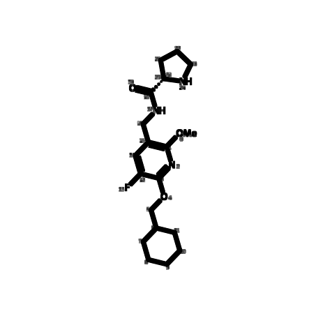 COc1nc(OCC2CCCCC2)c(F)cc1CNC(=O)[C@@H]1CCCN1